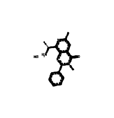 Cc1cc2c(=O)n(C)c(-c3ccccc3)nc2c([C@@H](C)N)n1.Cl